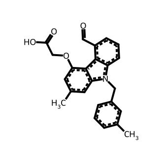 Cc1cccc(Cn2c3cccc(C=O)c3c3c(OCC(=O)O)cc(C)cc32)c1